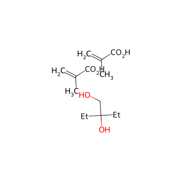 C=C(C)C(=O)O.C=C(C)C(=O)O.CCC(O)(CC)CO